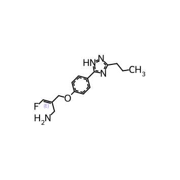 CCCc1n[nH]c(-c2ccc(OC/C(=C/F)CN)cc2)n1